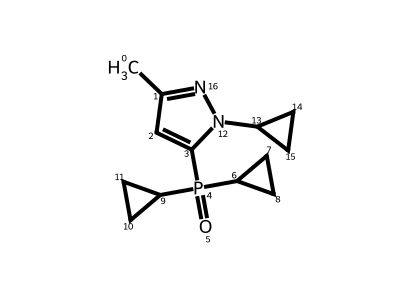 Cc1cc(P(=O)(C2CC2)C2CC2)n(C2CC2)n1